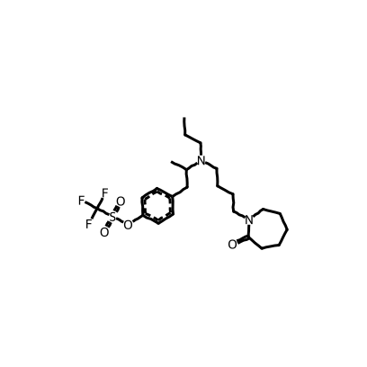 CCCN(CCCCN1CCCCCC1=O)C(C)Cc1ccc(OS(=O)(=O)C(F)(F)F)cc1